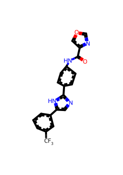 O=C(Nc1ccc(-c2ncc(-c3cccc(C(F)(F)F)c3)[nH]2)cc1)c1cocn1